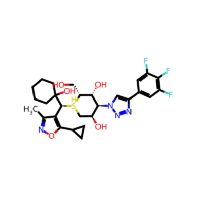 Cc1noc(C2CC2)c1[C@H]([SH]1C[C@H](O)[C@H](n2cc(-c3cc(F)c(F)c(F)c3)nn2)[C@@H](O)[C@H]1CO)C1(O)CCCCC1